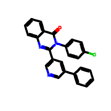 O=c1c2ccccc2nc(-c2cncc(-c3ccccc3)c2)n1-c1ccc(Cl)cc1